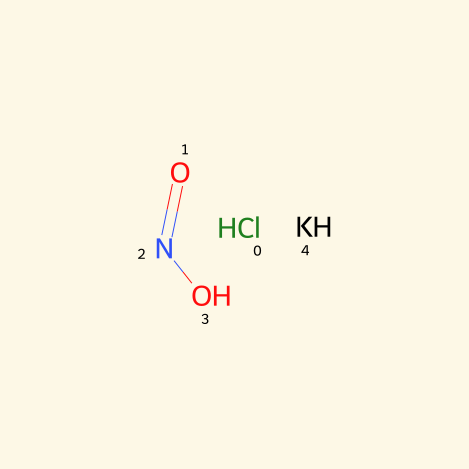 Cl.O=NO.[KH]